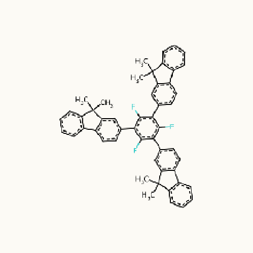 CC1(C)c2ccccc2-c2ccc(-c3c(F)c(-c4ccc5c(c4)C(C)(C)c4ccccc4-5)c(F)c(-c4ccc5c(c4)C(C)(C)c4ccccc4-5)c3F)cc21